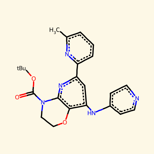 Cc1cccc(-c2cc(Nc3ccncc3)c3c(n2)N(C(=O)OC(C)(C)C)CCO3)n1